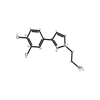 NCCn1ccc(-c2ccc(Cl)c(Cl)c2)n1